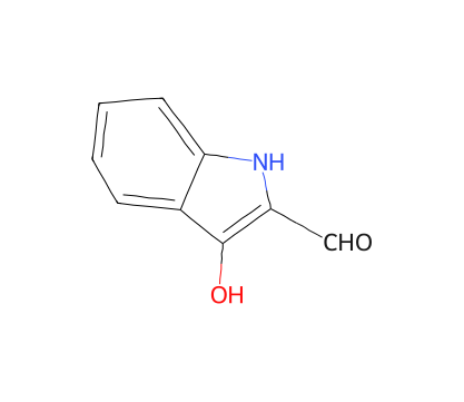 O=Cc1[nH]c2ccccc2c1O